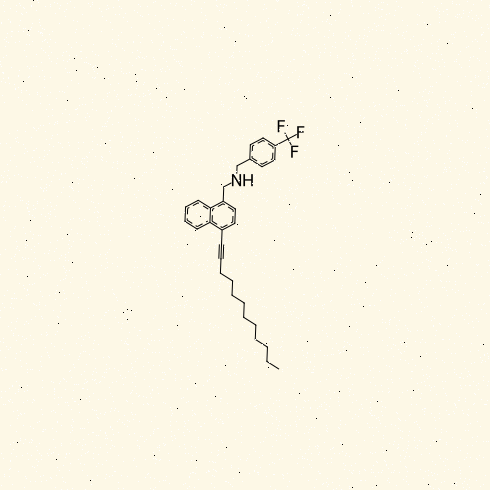 CCCCCCCCCCC#Cc1ccc(CNCc2ccc(C(F)(F)F)cc2)c2ccccc12